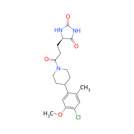 COc1cc(C2CCN(C(=O)CC[C@H]3NC(=O)NC3=O)CC2)c(C)cc1Cl